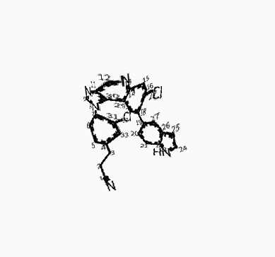 N#CCCc1ccc(-n2cnc3cnc4cc(Cl)c(-c5ccc6[nH]ccc6c5)cc4c32)c(Cl)c1